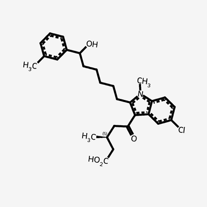 Cc1cccc(C(O)CCCCCc2c(C(=O)C[C@H](C)CC(=O)O)c3cc(Cl)ccc3n2C)c1